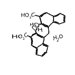 O.O=C(O)c1cc2ccccc2c(Cc2c(O)c(C(=O)O)cc3ccccc23)c1O